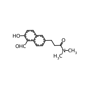 CN(C)C(=O)CCc1ccc2c(C=O)c(O)ccc2c1